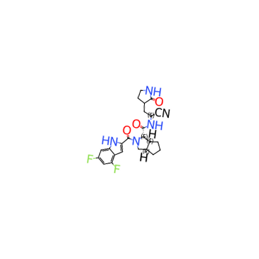 N#C[C@H](CC1CCNC1=O)NC(=O)[C@@H]1[C@H]2CCC[C@H]2CN1C(=O)c1cc2c(F)cc(F)cc2[nH]1